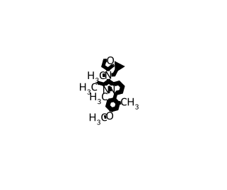 CCc1nn2c(-c3c(C)cc(OC)cc3C)cccc2c1[N+](C)(CC1CC1)C1CCOC1